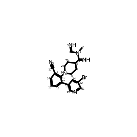 CN(C=N)C(=N)C1CCN(c2c(C#N)cccc2-c2cncc(Br)c2)CC1